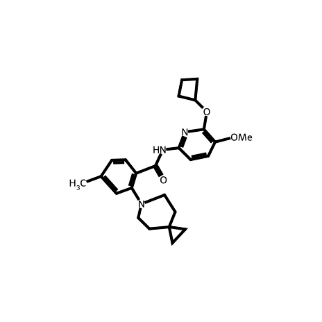 COc1ccc(NC(=O)c2ccc(C)cc2N2CCC3(CC2)CC3)nc1OC1CCC1